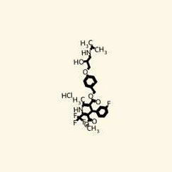 COC(=O)C1=C(C(F)(F)F)NC(C)=C(C(=O)OCc2ccc(OCC(O)CNC(C)C)cc2)C1c1cccc(F)c1.Cl